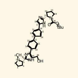 CN1CCC[C@H]1c1nc(-c2ccc(-c3ccc(-c4cnc([C@@H]5CCCN5C(=O)OC(C)(C)C)[nH]4)cc3)cc2)c(CO)[nH]1